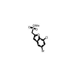 COS(=O)(=O)Cc1cc2cc(Br)cc(Cl)c2o1